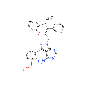 Nc1ncnc2c1c(-c1cccc(CO)c1)nn2CC1=C(c2ccccc2)C(C=O)c2ccccc2O1